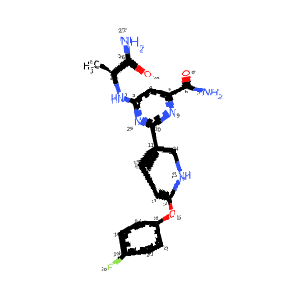 C[C@H](Nc1cc(C(N)=O)nc(C2=CC=C(Oc3ccc(F)cc3)NC2)n1)C(N)=O